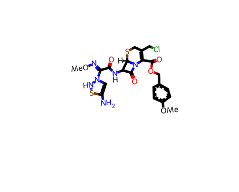 CO/N=C(/C(=O)NC1C(=O)N2C(C(=O)OCc3ccc(OC)cc3)=C(CCl)CS[C@@H]12)N1C=C(N)SN1